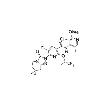 COc1ncc(C)c(NC(=O)c2cc(F)c(-n3nc4n(c3=O)CCC3(CC3)C4)nc2O[C@@H](C)C(F)(F)F)c1Cl